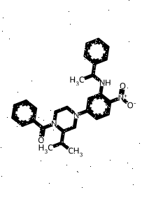 CC(Nc1cc(N2CCN(C(=O)c3ccccc3)C(C(C)C)C2)ccc1[N+](=O)[O-])c1ccccc1